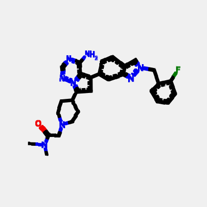 CN(C)C(=O)CN1CCC(c2cc(-c3ccc4cn(Cc5ccccc5F)nc4c3)c3c(N)ncnn23)CC1